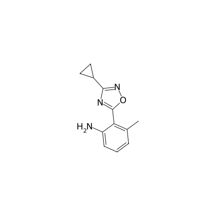 Cc1cccc(N)c1-c1nc(C2CC2)no1